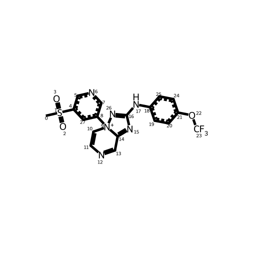 CS(=O)(=O)c1cncc([N+]23C=CN=CC2=NC(Nc2ccc(OC(F)(F)F)cc2)=N3)c1